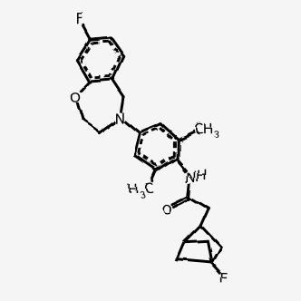 Cc1cc(N2CCOc3cc(F)ccc3C2)cc(C)c1NC(=O)CC1CC2(F)CC1C2